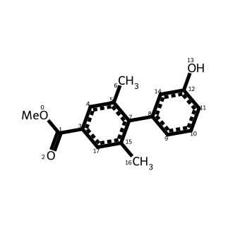 COC(=O)c1cc(C)c(-c2cccc(O)c2)c(C)c1